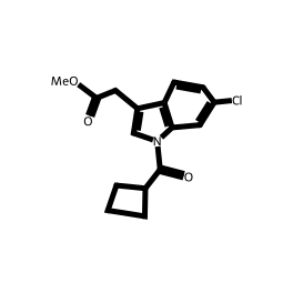 COC(=O)Cc1cn(C(=O)C2CCC2)c2cc(Cl)ccc12